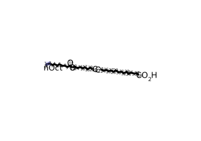 CCCCCCCC/C=C\CCCCCCCC(=O)OCCCCCCCCCCCCCCCCCCCCCCCCCC(=O)O